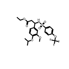 CCOC(=O)CC(NS(=O)(=O)c1ccc(OC(F)(F)F)cc1)c1ccc(OC(C)C)c(OC)c1